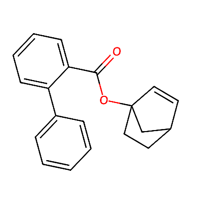 O=C(OC12C=CC(CC1)C2)c1ccccc1-c1ccccc1